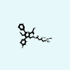 CCc1c(-c2ccccc2)nc(C(C)C)c(CCOC(=O)CC(O)C[PH](=O)OC)c1-c1ccc(F)cc1